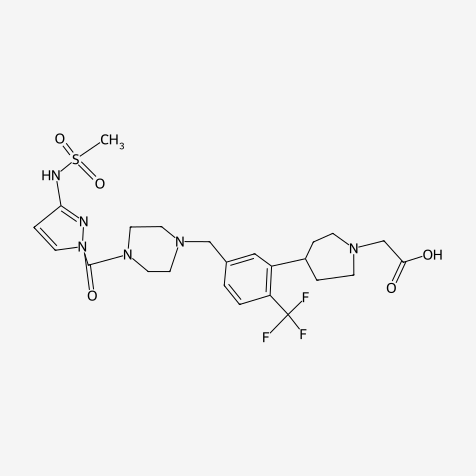 CS(=O)(=O)Nc1ccn(C(=O)N2CCN(Cc3ccc(C(F)(F)F)c(C4CCN(CC(=O)O)CC4)c3)CC2)n1